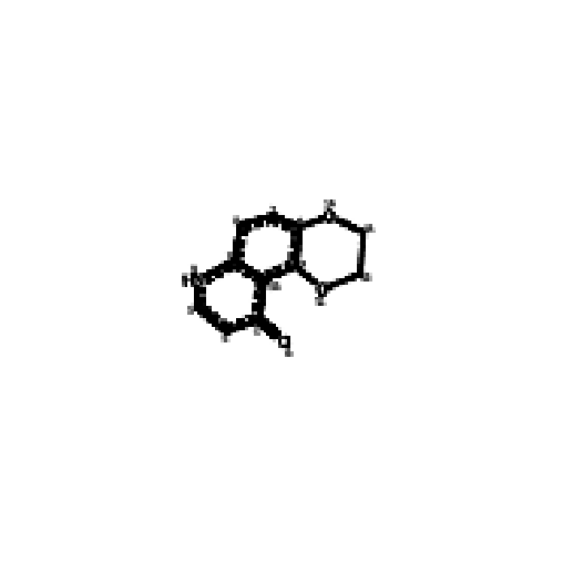 O=c1cc[nH]c2ccc3c(c12)OCCO3